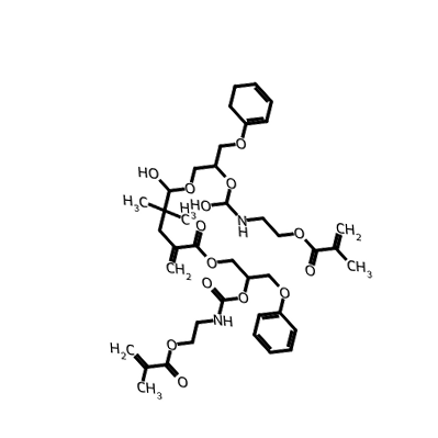 C=C(C)C(=O)OCCNC(=O)OC(COC(=O)C(=C)CC(C)(C)C(O)OCC(COC1=CC=CCC1)OC(O)NCCOC(=O)C(=C)C)COc1ccccc1